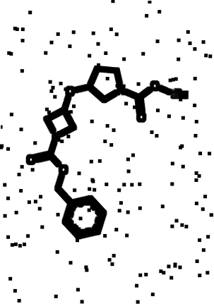 CC(C)(C)OC(=O)N1CCC(OC2CN(C(=O)OCc3ccccc3)C2)C1